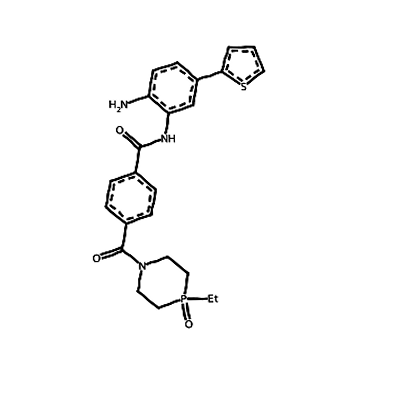 CCP1(=O)CCN(C(=O)c2ccc(C(=O)Nc3cc(-c4cccs4)ccc3N)cc2)CC1